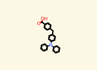 O=C(O)c1ccc(Cc2ccc(N(c3ccccc3)c3ccccc3)cc2)cc1